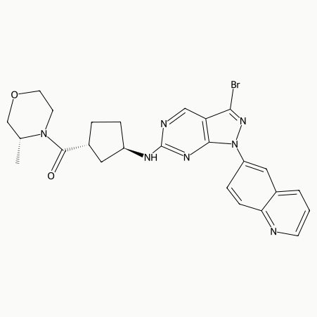 C[C@@H]1COCCN1C(=O)[C@@H]1CC[C@@H](Nc2ncc3c(Br)nn(-c4ccc5ncccc5c4)c3n2)C1